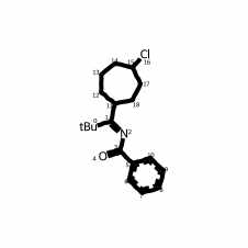 CC(C)(C)C(=NC(=O)c1ccccc1)C1CCCC(Cl)CC1